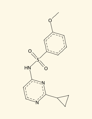 COc1cccc(S(=O)(=O)Nc2ccnc(C3CC3)n2)c1